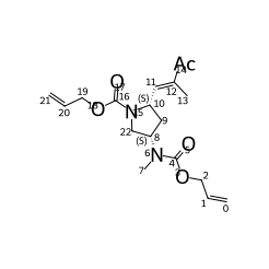 C=CCOC(=O)N(C)[C@H]1C[C@@H](C=C(C)C(C)=O)N(C(=O)OCC=C)C1